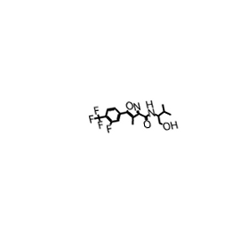 Cc1c(C(=O)NC(CO)C(C)C)noc1-c1ccc(C(F)(F)F)c(F)c1